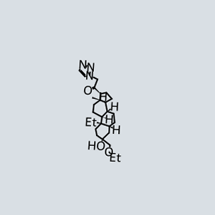 CCOC[C@@]1(O)CC[C@@]2(CC)[C@H](CC[C@H]3[C@@H]4CC[C@H](C(=O)Cn5ccnn5)[C@@]4(C)CC[C@@H]32)C1